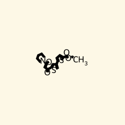 CCOC(=O)c1ccc(-c2csc3c(=O)cc(N4CCCCC4)oc23)s1